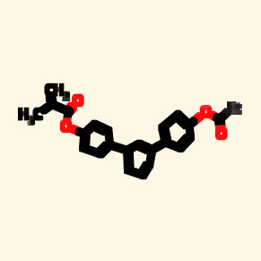 C=C(C)C(=O)Oc1ccc(-c2cccc(-c3ccc(OC(=O)CC)cc3)c2)cc1